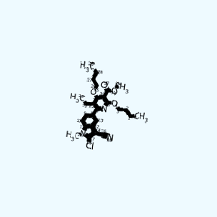 CCCCOc1nc(-c2ccc3c(c2)c(C#N)c(Cl)n3C)c(CC)c(OCCCC)c1C(=O)OC